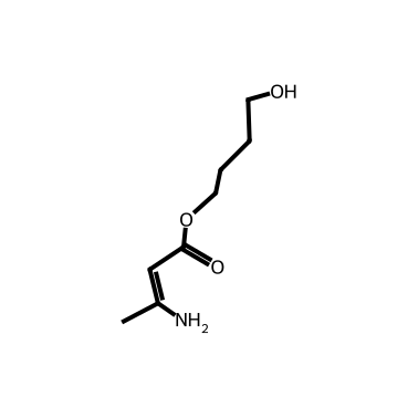 C/C(N)=C/C(=O)OCCCCO